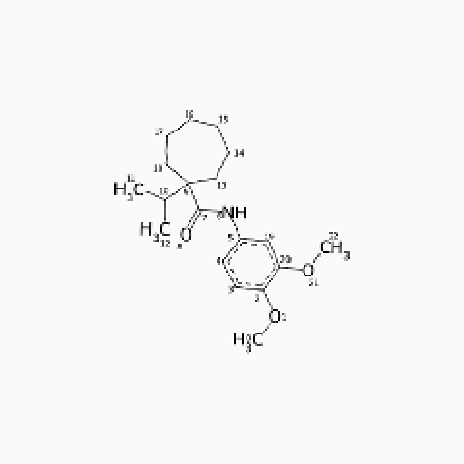 COc1ccc(NC(=O)C2(C(C)C)CCCCCC2)cc1OC